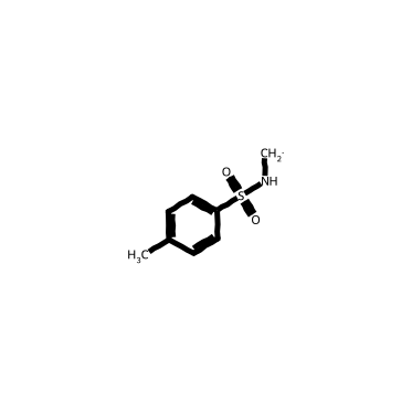 [CH2]NS(=O)(=O)c1ccc(C)cc1